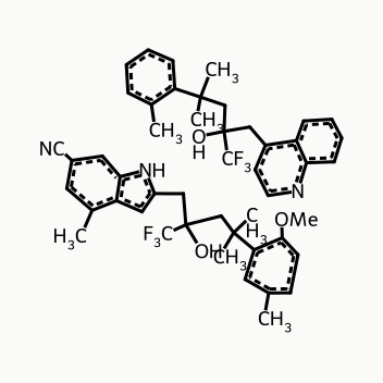 COc1ccc(C)cc1C(C)(C)CC(O)(Cc1cc2c(C)cc(C#N)cc2[nH]1)C(F)(F)F.Cc1ccccc1C(C)(C)CC(O)(Cc1ccnc2ccccc12)C(F)(F)F